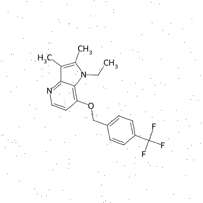 CCn1c(C)c(C)c2nccc(OCc3ccc(C(F)(F)F)cc3)c21